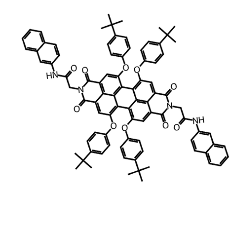 CC(C)(C)c1ccc(Oc2cc3c4c(cc(Oc5ccc(C(C)(C)C)cc5)c5c6c(Oc7ccc(C(C)(C)C)cc7)cc7c8c(cc(Oc9ccc(C(C)(C)C)cc9)c(c2c45)c86)C(=O)N(CC(=O)Nc2ccc4ccccc4c2)C7=O)C(=O)N(CC(=O)Nc2ccc4ccccc4c2)C3=O)cc1